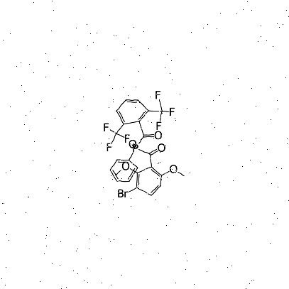 COc1ccc(Br)c(OC)c1C(=O)P(=O)(C(=O)c1c(C(F)(F)F)cccc1C(F)(F)F)c1ccccc1